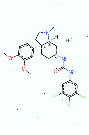 COc1ccc([C@@]23CC[C@@H](NC(=O)Nc4cc(F)c(F)c(F)c4)C[C@@H]2N(C)CC3)cc1OC.Cl